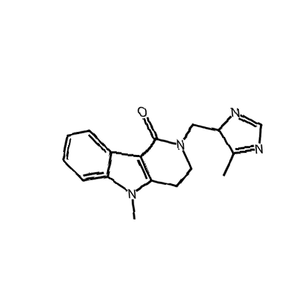 CC1=NC=NC1CN1CCc2c(c3ccccc3n2C)C1=O